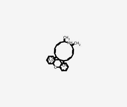 C=C1/C=C\C=C/C(=C)C2(C(=C)/C=C\C=C/C(=C)N1)c1ccccc1Oc1ccccc12